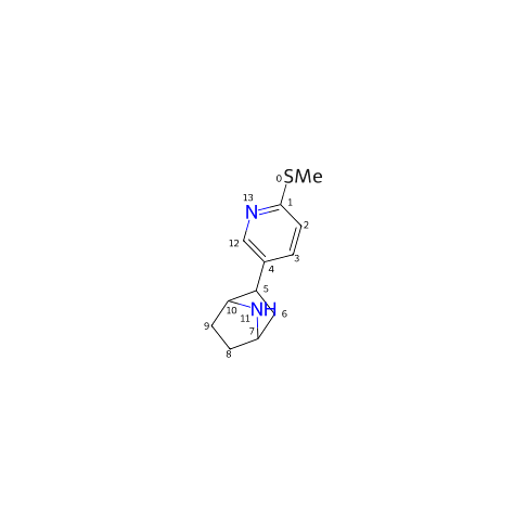 CSc1ccc(C2CC3CCC2N3)cn1